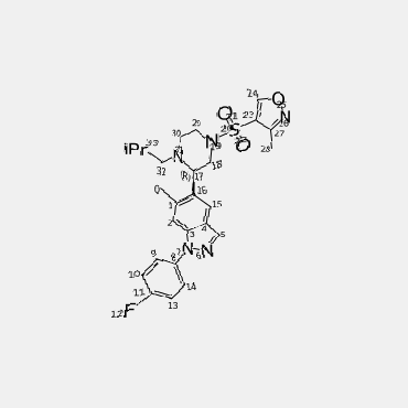 Cc1cc2c(cnn2-c2ccc(F)cc2)cc1[C@@H]1CN(S(=O)(=O)c2conc2C)CCN1CC(C)C